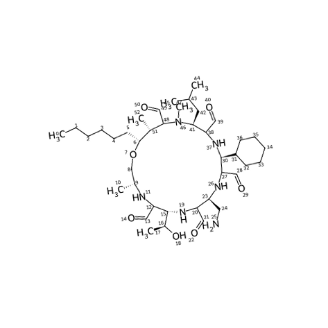 CCCCCC[C@H]1OC[C@@H](C)NC(C=O)[C@@H]([C@H](C)O)NC(C=O)[C@H](CN)NC(C=O)[C@H](C2CCCCC2)NC(C=O)[C@H](CC(C)C)N(C)C(C=O)[C@H]1C